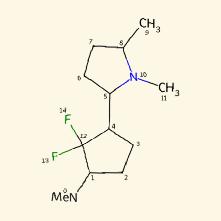 CNC1CCC(C2CCC(C)N2C)C1(F)F